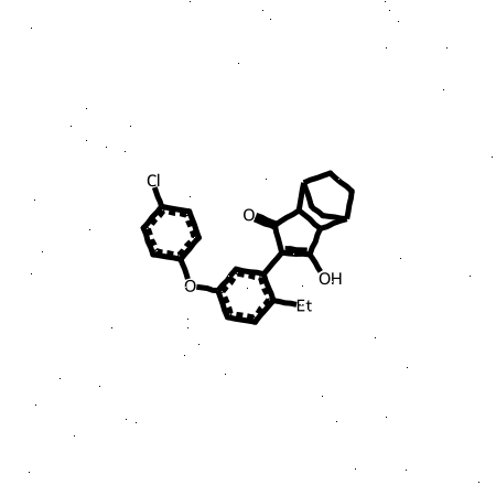 CCc1ccc(Oc2ccc(Cl)cc2)cc1C1=C(O)C2C3CCC(CC3)C2C1=O